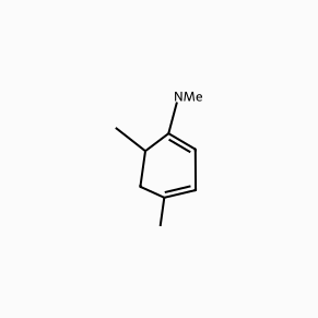 CNC1=CC=C(C)CC1C